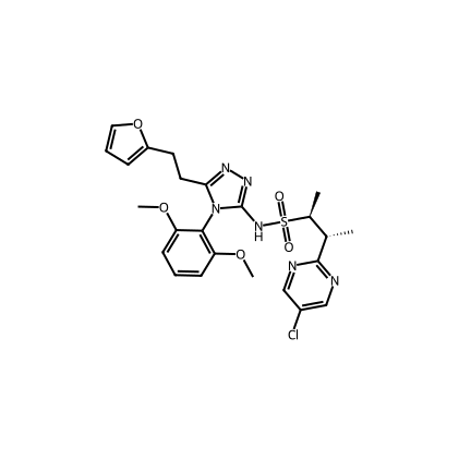 COc1cccc(OC)c1-n1c(CCc2ccco2)nnc1NS(=O)(=O)[C@@H](C)[C@H](C)c1ncc(Cl)cn1